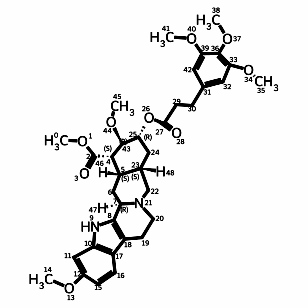 COC(=O)[C@H]1[C@H]2C[C@@H]3c4[nH]c5cc(OC)ccc5c4CCN3C[C@H]2C[C@@H](OC(=O)CCc2cc(OC)c(OC)c(OC)c2)[C@@H]1OC